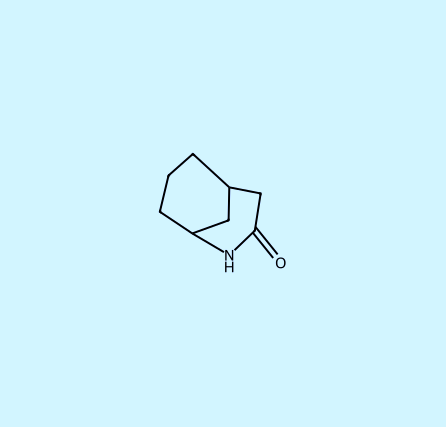 O=C1CC2CCCC(C2)N1